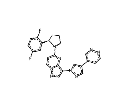 Fc1ccc(F)c([C@H]2CCCN2c2ccn3ncc(-n4cc(-c5ccnnc5)cn4)c3n2)c1